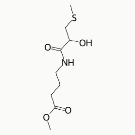 COC(=O)CCCNC(=O)C(O)CSC